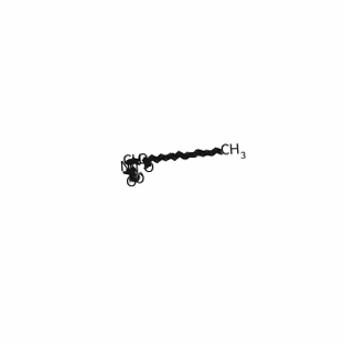 CCCCCC=CCC=CCC=CCCCCC(=O)OCCC1(C)N=CC([N+](=O)[O-])=N1